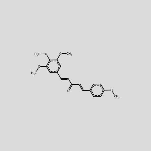 COc1ccc(C=CC(=O)C=Cc2cc(OC)c(OC)c(OC)c2)cc1